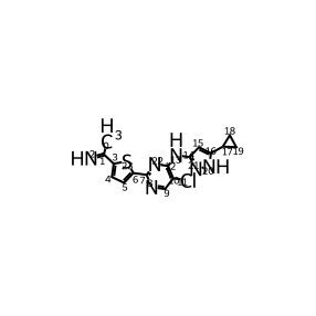 CC(=N)c1ccc(-c2ncc(Cl)c(Nc3cc(C4CC4)[nH]n3)n2)s1